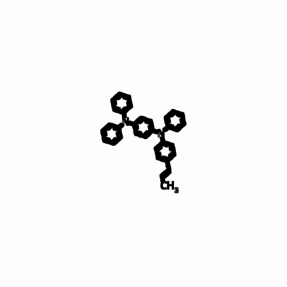 CC=Cc1ccc(N(c2ccccc2)c2ccc(N(c3ccccc3)c3ccccc3)cc2)cc1